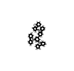 c1ccc2c(c1)oc1cccc(-n3c4ccccc4c4ccc(-c5cc(-n6c7ccccc7c7ccccc76)cc(-n6c7ccccc7c7ccccc76)c5)cc43)c12